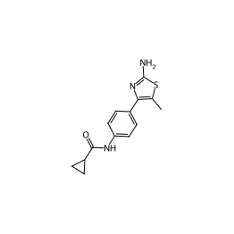 Cc1sc(N)nc1-c1ccc(NC(=O)C2CC2)cc1